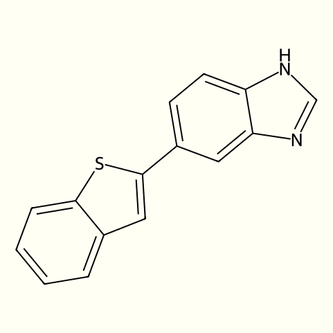 c1ccc2sc(-c3ccc4[nH]cnc4c3)cc2c1